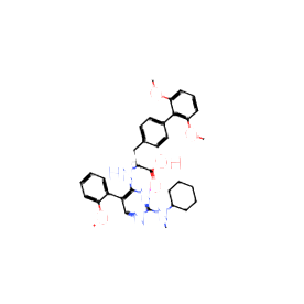 COc1ccccc1-c1cnc(N(C)C2CCCCC2)nc1N[C@@H](Cc1ccc(-c2c(OC)cccc2OC)cc1)C(=O)O